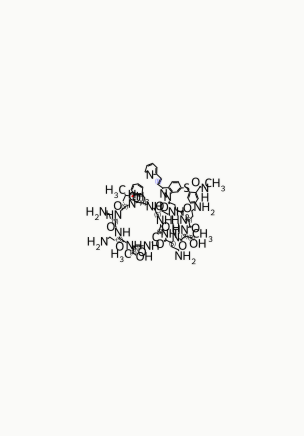 CNC(=O)c1ccccc1Sc1ccc2c(/C=C/c3ccccn3)nn(C(=O)CCC(=O)N[C@@H](CCN)C(=O)N[C@H](C(=O)N[C@@H](CCN)C(=O)N[C@H]3CCNC(=O)[C@H]([C@@H](C)O)NC(=O)[C@H](CCN)NC(=O)[C@H](CCN)NC(=O)[C@H](CC(C)C)NC(=O)[C@@H](Cc4ccccc4)NC(=O)[C@H](CCN)NC3=O)[C@@H](C)O)c2c1